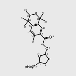 CCCCCCCC1CCC(OCC(=O)c2cc3c(cc2C)C(C)(C)C(C)CC3(C)C)O1